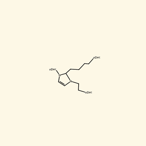 CCCCCCCCCCCCCCC1N(CCCCCCCCCC)C=CN1CCCCCCCCCCCC